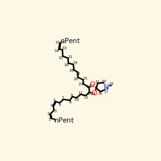 CCCCC/C=C\C/C=C\CCCCCCCC1OC2(CCN(C)CC2)OC1CCCCCCCCCC/C=C\CCCCC